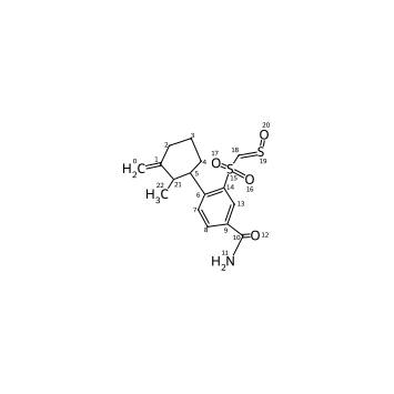 C=C1CCCC(c2ccc(C(N)=O)cc2S(=O)(=O)C=S=O)C1C